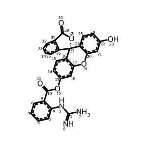 N=C(N)Nc1ccccc1C(=O)Oc1ccc2c(c1)Oc1cc(O)ccc1[C@@]21OC(=O)c2ccccc21